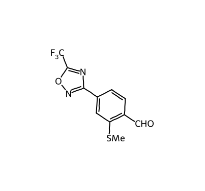 CSc1cc(-c2noc(C(F)(F)F)n2)ccc1C=O